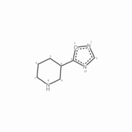 c1noc(C2CCCNC2)n1